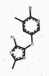 CC(=O)c1sc(C)nc1Oc1cnc(Br)c(C)c1